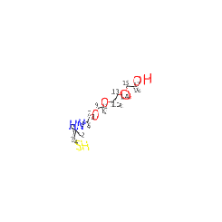 CC(C)(CS)NCCOCCOCCOCCO